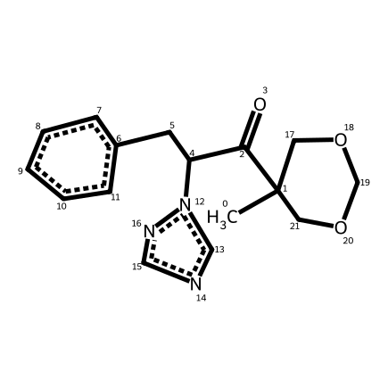 CC1(C(=O)C(Cc2ccccc2)n2cncn2)COCOC1